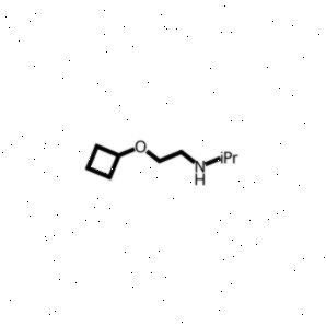 CC(C)NCCOC1CCC1